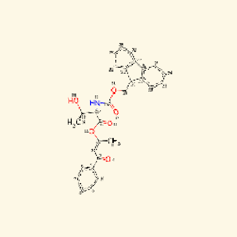 C/C(=C\C(=O)c1ccccc1)OC(=O)[C@@H](NC(=O)OCC1c2ccccc2-c2ccccc21)[C@@H](C)O